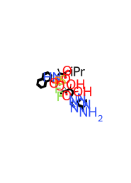 CC(C)OC(=O)[C@H](C)NP(=S)(OC[C@@]1(C(F)F)O[C@@H](n2cnc3c(N)ncnc32)[C@H](O)[C@@H]1O)Oc1cccc2ccccc12